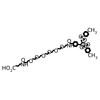 Cc1ccc(S(=O)(=O)CC(CS(=O)(=O)c2ccc(C)cc2)C(=O)c2ccc(C(=O)NCCOCCOCCOCCOCCOCCOCCC(=O)NCCCC(=O)O)cc2)cc1